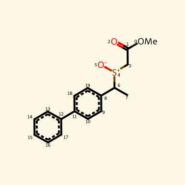 COC(=O)C[S+]([O-])C(C)c1ccc(-c2ccccc2)cc1